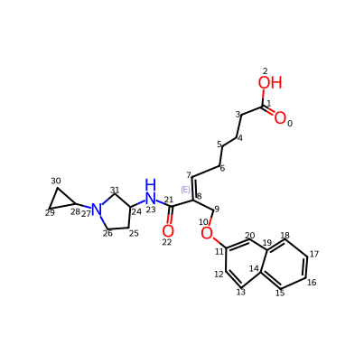 O=C(O)CCCC/C=C(\COc1ccc2ccccc2c1)C(=O)NC1CCN(C2CC2)C1